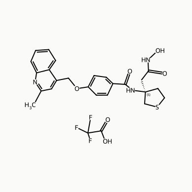 Cc1cc(COc2ccc(C(=O)N[C@@]3(CC(=O)NO)CCSC3)cc2)c2ccccc2n1.O=C(O)C(F)(F)F